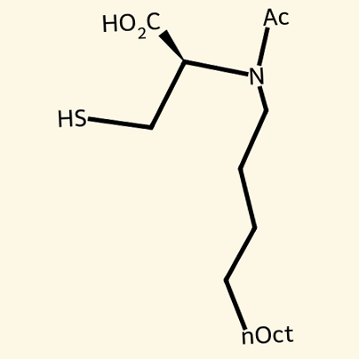 CCCCCCCCCCCCN(C(C)=O)[C@@H](CS)C(=O)O